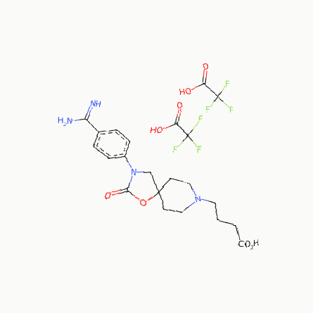 N=C(N)c1ccc(N2CC3(CCN(CCCC(=O)O)CC3)OC2=O)cc1.O=C(O)C(F)(F)F.O=C(O)C(F)(F)F